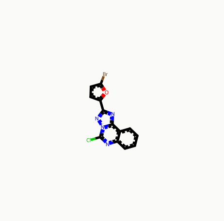 Clc1nc2ccccc2c2nc(-c3ccc(Br)o3)nn12